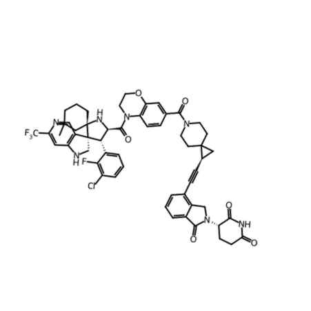 CC1(C)CCC[C@@]2(C1)N[C@@H](C(=O)N1CCOc3cc(C(=O)N4CCC5(CC4)C[C@H]5C#Cc4cccc5c4CN([C@H]4CCC(=O)NC4=O)C5=O)ccc31)[C@H](c1cccc(Cl)c1F)[C@]21CNc2cc(C(F)(F)F)ncc21